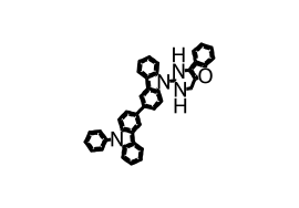 c1ccc(-n2c3ccccc3c3cc(-c4ccc5c(c4)c4ccccc4n5C4NCc5oc6ccccc6c5N4)ccc32)cc1